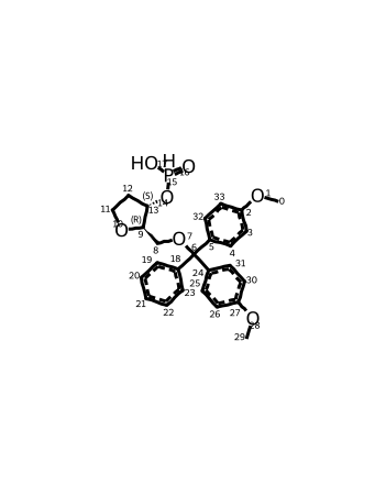 COc1ccc(C(OC[C@H]2OCC[C@@H]2O[PH](=O)O)(c2ccccc2)c2ccc(OC)cc2)cc1